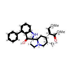 CC[C@@H]1CN2CC[C@]3(Nc4cccc(-c5ccccc5)c4C3=O)C2C[C@@H]1C(=COC)C(=O)OC